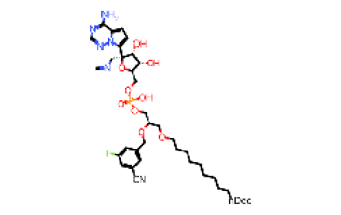 C=NC[C@@]1(c2ccc3c(N)ncnn23)O[C@H](COP(=O)(O)OC[C@@H](COCCCCCCCCCCCCCCCCCCC)OCc2cc(F)cc(C#N)c2)[C@@H](O)[C@H]1O